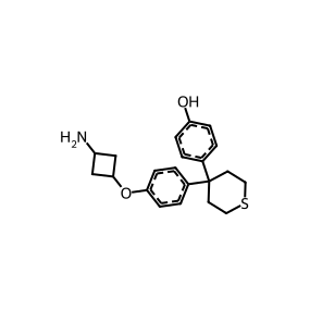 NC1CC(Oc2ccc(C3(c4ccc(O)cc4)CCSCC3)cc2)C1